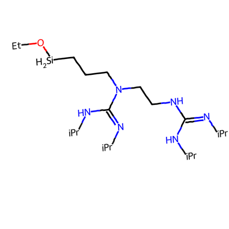 CCO[SiH2]CCCN(CCNC(=NC(C)C)NC(C)C)C(=NC(C)C)NC(C)C